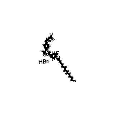 Br.CCCCCCCCCCCCCCOc1ccc(CCN(C(C)=O)c2ccc(CN3C=C(C)SC3)cc2)cc1F